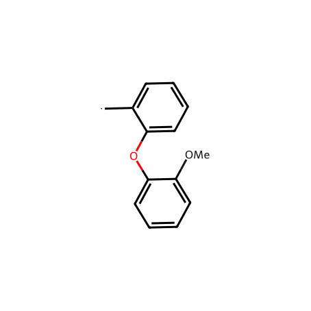 [CH2]c1ccccc1Oc1ccccc1OC